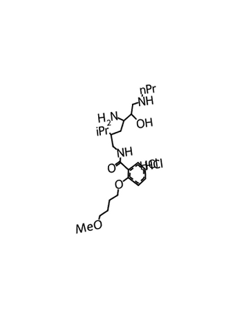 CCCNCC(O)C(N)CC(CNC(=O)c1ccccc1OCCCCOC)C(C)C.Cl.Cl